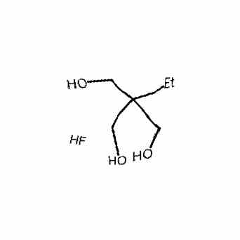 CCC(CO)(CO)CO.F